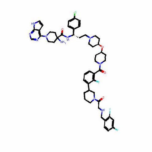 NC1(C(=O)N[C@@H](CCN2CCC(OC3CCN(C(=O)c4cccc(C5CCCN(C(=O)CNCc6ccc(F)cc6F)C5)c4F)CC3)CC2)c2ccc(Cl)cc2)CCN(c2ncnc3[nH]ccc23)CC1